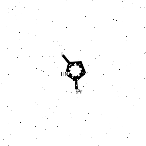 CC(C)c1ccc(I)[nH]1